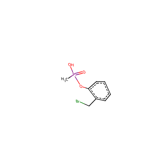 CP(=O)(O)Oc1ccccc1CBr